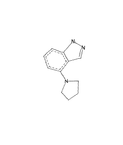 C1=N[N]c2cccc(N3CCCC3)c21